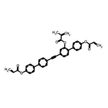 C=CC(=O)Oc1ccc(-c2ccc(C#Cc3ccc(-c4ccc(OC(=O)C=C)cc4)c(OC(=O)C(=C)C)c3)cc2)cc1